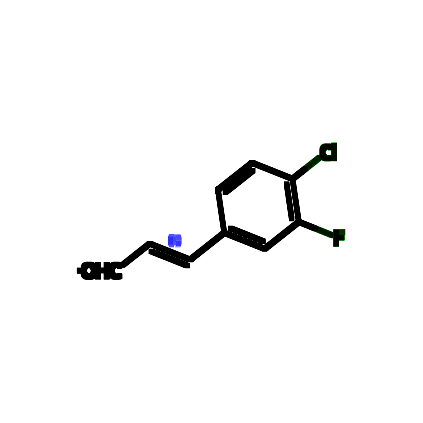 O=[C]/C=C/c1ccc(Cl)c(F)c1